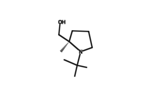 CC(C)(C)N1CCC[C@]1(C)CO